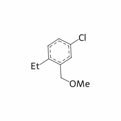 CCc1ccc(Cl)cc1COC